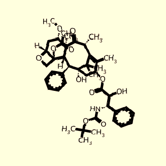 CO[C@H]1C[C@H]2OC[C@@]2(OC(C)=O)[C@H]2[C@H](c3ccccc3)[C@]3(O)C[C@H](OC(=O)C(O)[C@@H](NC(=O)OC(C)(C)C)c4ccccc4)C(C)=C([C@@H](C)C(=O)[C@]12C)C3(C)C